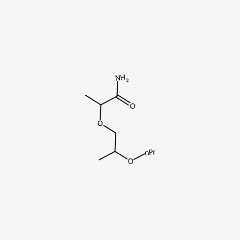 CCCOC(C)COC(C)C(N)=O